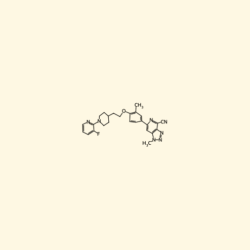 Cc1cc(-c2cc3c(nnn3C)c(C#N)n2)ccc1OCCC1CCN(c2ncccc2F)CC1